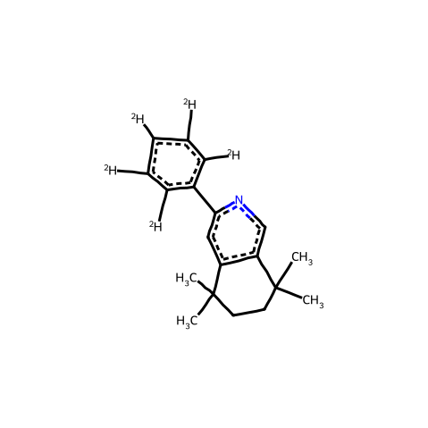 [2H]c1c([2H])c([2H])c(-c2cc3c(cn2)C(C)(C)CCC3(C)C)c([2H])c1[2H]